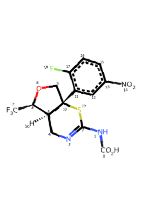 O=C(O)NC1=NC[C@H]2[C@@H](C(F)(F)F)OC[C@]2(c2cc([N+](=O)[O-])ccc2F)S1